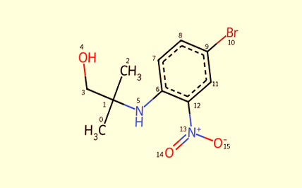 CC(C)(CO)Nc1ccc(Br)cc1[N+](=O)[O-]